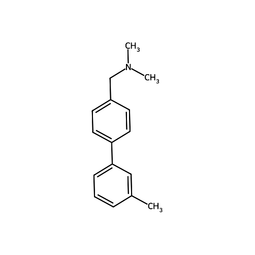 Cc1cccc(-c2ccc(CN(C)C)cc2)c1